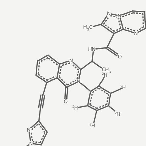 [2H]c1c([2H])c([2H])c(-n2c(C(C)NC(=O)c3c(C)nn4cccnc34)nc3cccc(C#Cc4ccn(C)n4)c3c2=O)c([2H])c1[2H]